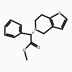 COC(=O)[C@H](c1ccccc1)N1CCc2sccc2C1